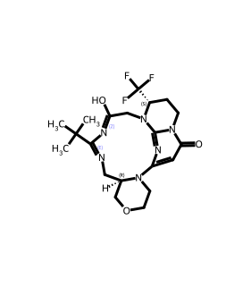 CC(C)(C)C1=N\C[C@@H]2COCCN2c2cc(=O)n3c(n2)N(C\C(O)=N\1)[C@H](C(F)(F)F)CC3